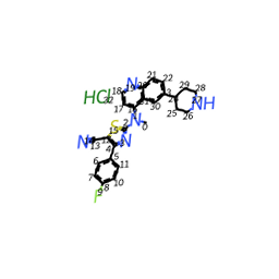 CN(c1nc(-c2ccc(F)cc2)c(C#N)s1)c1ccnc2ccc(C3CCNCC3)cc12.Cl